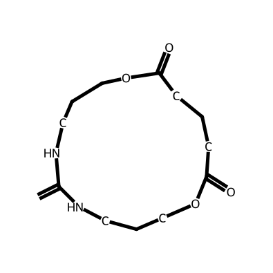 C=C1NCCCOC(=O)CCCC(=O)OCCCN1